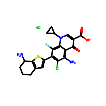 Cl.Nc1c(Cl)c(-c2cc3c(s2)C(N)CCC3)c(F)c2c1c(=O)c(C(=O)O)cn2C1CC1